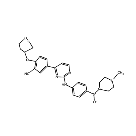 CN1CCN([S+]([O-])c2ccc(Nc3nccc(-c4ccc(OC5CCOCC5)c(C#N)c4)n3)cc2)CC1